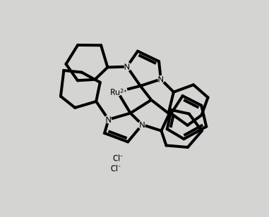 C1=CN(C2CCCCC2)[C]2([Ru+2][C]3(C2c2ccccc2)N(C2CCCCC2)C=CN3C2CCCCC2)N1C1CCCCC1.[Cl-].[Cl-]